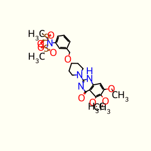 COc1cc2[nH]c(N3CCC(OCc4cccc(N(S(C)(=O)=O)S(C)(=O)=O)c4)CC3)nc(=O)c2c(OC)c1OC